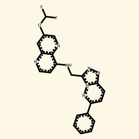 FC(F)Oc1cnc2c(NCc3nnc4ccc(-c5ccccc5)nn34)ccnc2c1